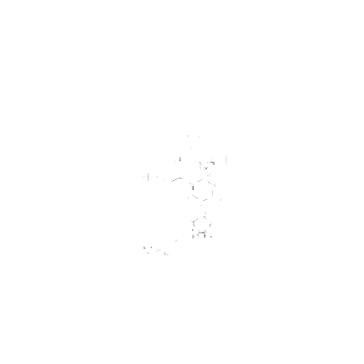 C/C=C1/c2cc(-c3cnn(CCOC)c3)ccc2N(C)C(C2CC2)[C@H]1C